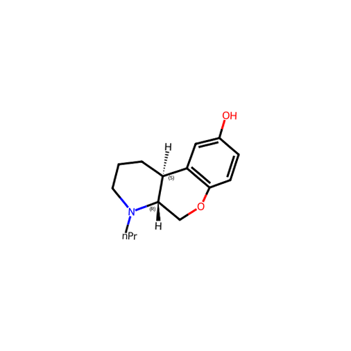 CCCN1CCC[C@H]2c3cc(O)ccc3OC[C@@H]21